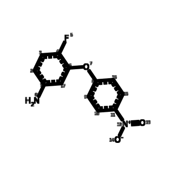 Nc1ccc(F)c(Oc2ccc([N+](=O)[O-])cc2)c1